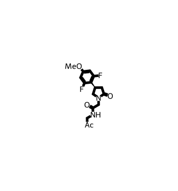 COc1cc(F)c([C@H]2CC(=O)N(CC(=O)NCC(C)=O)C2)c(F)c1